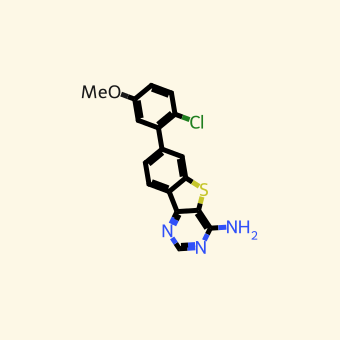 COc1ccc(Cl)c(-c2ccc3c(c2)sc2c(N)ncnc23)c1